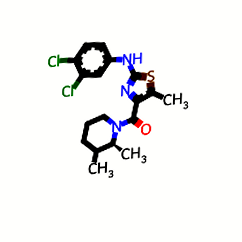 Cc1sc(Nc2ccc(Cl)c(Cl)c2)nc1C(=O)N1CCCC(C)[C@@H]1C